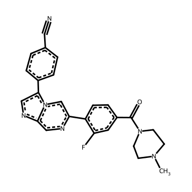 CN1CCN(C(=O)c2ccc(-c3cn4c(-c5ccc(C#N)cc5)cnc4cn3)c(F)c2)CC1